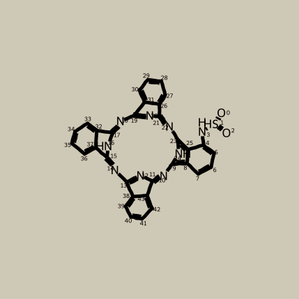 O=[SH](=O)Nc1cccc2c3nc4nc(nc5[nH]c(nc6nc(nc([nH]3)c12)-c1ccccc1-6)c1ccccc51)-c1ccccc1-4